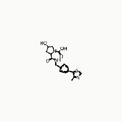 Cc1ncsc1-c1ccc(CNC(=O)C2CC(O)CN2C(=O)O)cc1